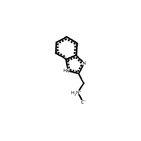 [CH2-][NH2+]Cc1nc2ccccc2[nH]1